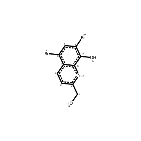 OCc1ccc2c(Br)cc(Br)c(O)c2n1